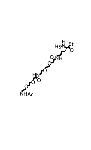 CCC(=O)[C@H](CCCCNC(=O)COCCOCCNC(=O)COCCOCCNC(C)=O)NS